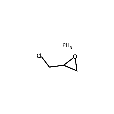 ClCC1CO1.P